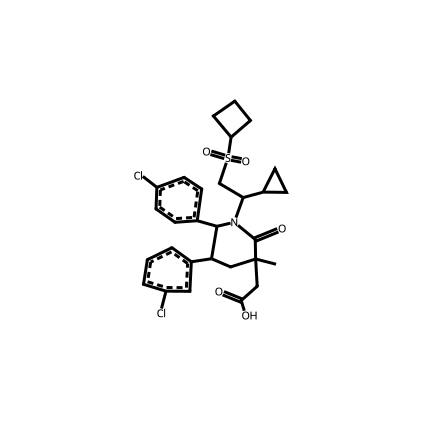 CC1(CC(=O)O)CC(c2cccc(Cl)c2)C(c2ccc(Cl)cc2)N(C(CS(=O)(=O)C2CCC2)C2CC2)C1=O